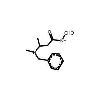 CC(CC(=O)NC=O)N(C)Cc1ccccc1